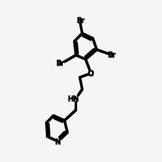 Brc1cc(Br)c(OCCNCc2cccnc2)c(Br)c1